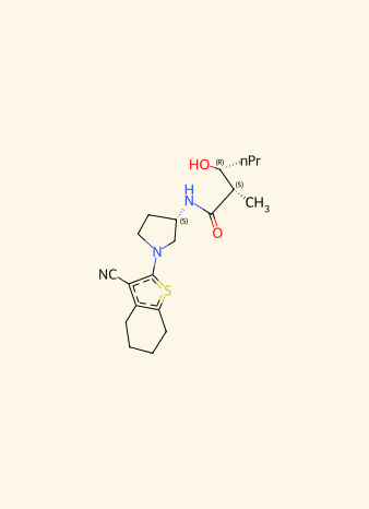 CCC[C@@H](O)[C@H](C)C(=O)N[C@H]1CCN(c2sc3c(c2C#N)CCCC3)C1